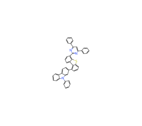 c1ccc(-c2cc(-c3ccccc3)nc(-c3cccc4c3sc3cccc(-c5ccc6c7ccccc7n(-c7ccccc7)c6c5)c34)n2)cc1